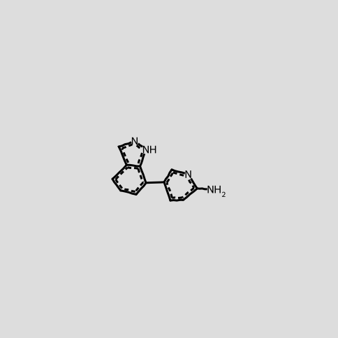 Nc1ccc(-c2cccc3cn[nH]c23)cn1